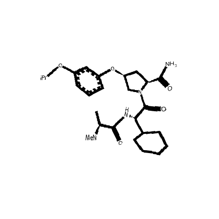 CN[C@@H](C)C(=O)N[C@H](C(=O)N1C[C@@H](Oc2cccc(OC(C)C)c2)C[C@H]1C(N)=O)C1CCCCC1